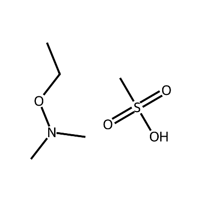 CCON(C)C.CS(=O)(=O)O